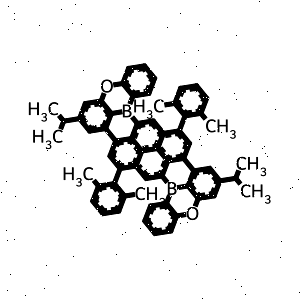 Cc1cccc(C)c1-c1cc2c3c(cc4c(-c5c(C)cccc5C)cc5c6c(cc1c3c46)B1c3ccccc3Oc3cc(C(C)C)cc-5c31)B1c3ccccc3Oc3cc(C(C)C)cc-2c31